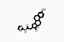 C[C@]12CCC3c4ccc(O)cc4CCC3C1CC(CC(=O)Nc1nccs1)C2=O